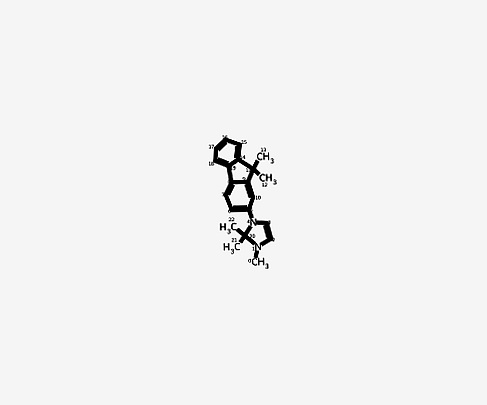 CN1C=CN(c2ccc3c(c2)C(C)(C)c2ccccc2-3)C1(C)C